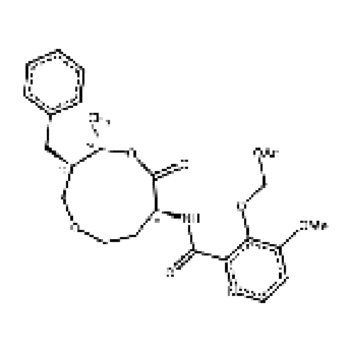 COc1ccnc(C(=O)N[C@H]2CCOC[C@@H](Cc3ccccc3)[C@H](C)OC2=O)c1OCOC(C)=O